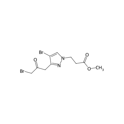 COC(=O)CCn1cc(Br)c(CC(=O)CBr)n1